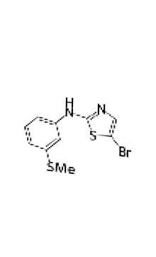 CSc1cccc(Nc2ncc(Br)s2)c1